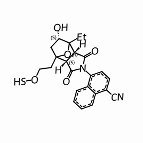 CCC12OC(CCOS)(C[C@@H]1O)[C@H]1C(=O)N(c3ccc(C#N)c4ccccc34)C(=O)[C@H]12